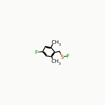 Cc1cc(F)cc(C)c1CSF